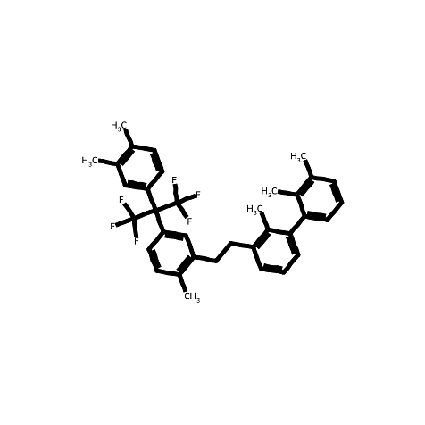 Cc1ccc(C(c2ccc(C)c(CCc3cccc(-c4cccc(C)c4C)c3C)c2)(C(F)(F)F)C(F)(F)F)cc1C